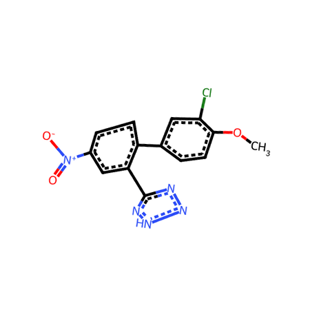 COc1ccc(-c2ccc([N+](=O)[O-])cc2-c2nn[nH]n2)cc1Cl